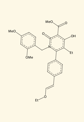 CCOC=Cc1ccc(-c2c(CC)c(O)c(C(=O)OC)c(=O)n2Cc2ccc(OC)cc2OC)cc1